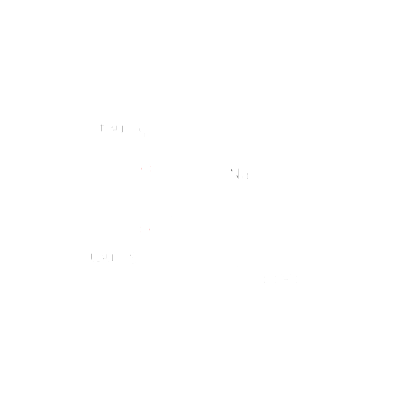 CC(C)(C)[Si](C)(C)Oc1ccc(CCC(=O)[O-])cc1O[Si](C)(C)C(C)(C)C.[Na+]